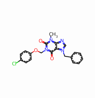 Cn1c(=O)n(COc2ccc(Cl)cc2)c(=O)c2c1ncn2Cc1ccccc1